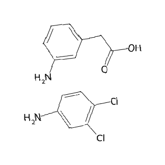 Nc1ccc(Cl)c(Cl)c1.Nc1cccc(CC(=O)O)c1